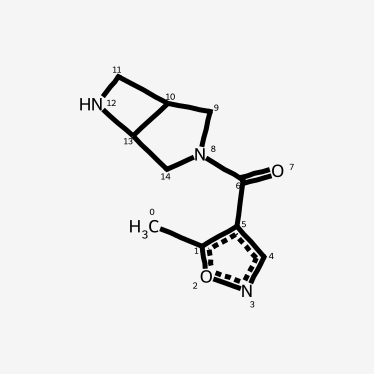 Cc1oncc1C(=O)N1CC2CNC2C1